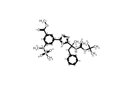 COC(=O)c1cc(-c2nnc([C@@](C)(Cc3ccccc3)NC(=O)OC(C)(C)C)o2)cc(N(C)S(C)(=O)=O)c1